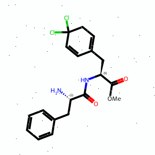 COC(=O)[C@H](CC1=CCC(Cl)(Cl)C=C1)NC(=O)[C@@H](N)Cc1ccccc1